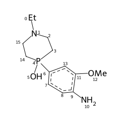 CCN1CC[P](O)(c2ccc(N)c(OC)c2)CC1